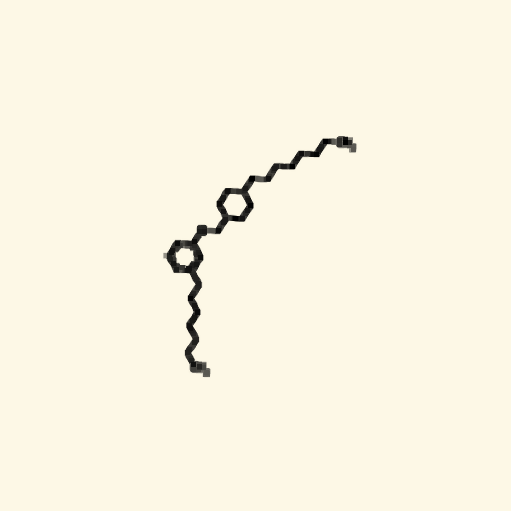 CCCCCCCCC1CCC(COc2c[c]cc(CCCCCCC)c2)CC1